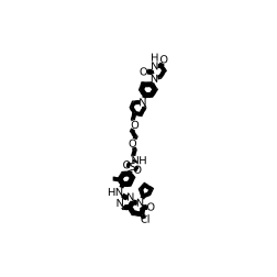 Cc1cc(S(=O)(=O)NCCOCCOCC2CCN(c3ccc(N4CCC(=O)NC4=O)cc3)CC2)ccc1Nc1ncc2cc(Cl)c(=O)n(C3CCCC3)c2n1